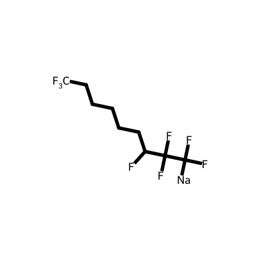 FC(CCCCCC(F)(F)F)C(F)(F)[C](F)(F)[Na]